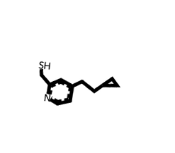 SCc1cc(CCC2CC2)ccn1